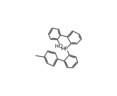 Cc1ccc(-c2ccccc2Pc2ccccc2-c2ccccc2O)cc1